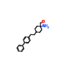 NC1(C=O)CCC(CCc2ccc(-c3ccccc3)cc2)CC1